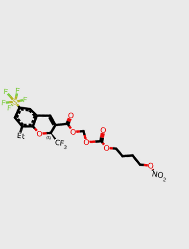 CCc1cc(S(F)(F)(F)(F)F)cc2c1O[C@H](C(F)(F)F)C(C(=O)OCOC(=O)OCCCCO[N+](=O)[O-])=C2